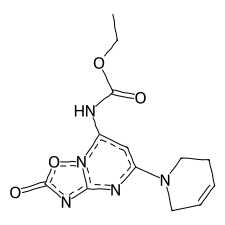 CCOC(=O)Nc1cc(N2CC=CCC2)nc2nc(=O)on12